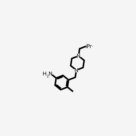 C[C](C)CN1CCN(Cc2cc(N)ccc2C)CC1